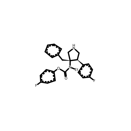 CCN(C(=O)Oc1ccc(F)cc1)[C@]1(Cc2ccccc2)CNC[C@H]1c1ccc(F)cc1